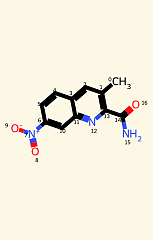 Cc1cc2ccc([N+](=O)[O-])cc2nc1C(N)=O